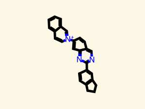 c1ccc2c[n+](-c3ccc4cnc(-c5ccc6c(c5)CCC6)nc4c3)ccc2c1